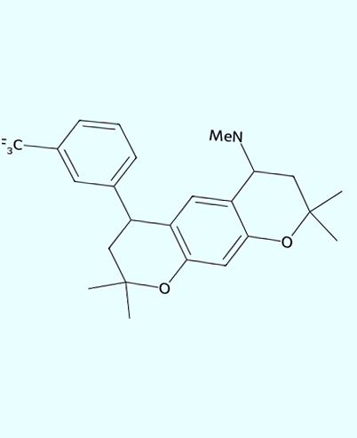 CNC1CC(C)(C)Oc2cc3c(cc21)C(c1cccc(C(F)(F)F)c1)CC(C)(C)O3